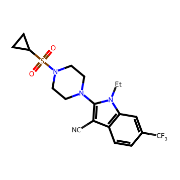 CCn1c(N2CCN(S(=O)(=O)C3CC3)CC2)c(C#N)c2ccc(C(F)(F)F)cc21